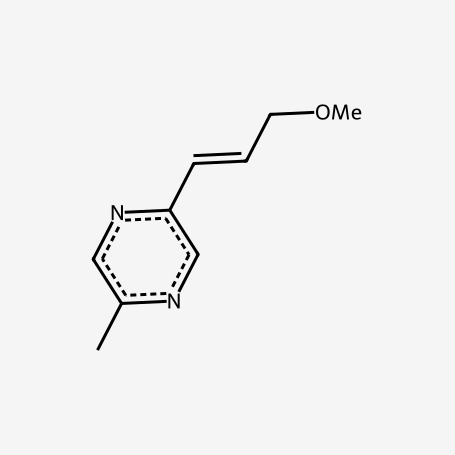 COC/C=C/c1cnc(C)cn1